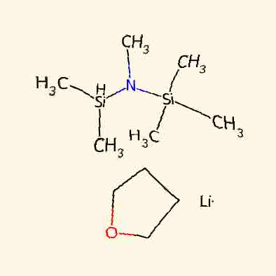 C1CCOC1.CN([SiH](C)C)[Si](C)(C)C.[Li]